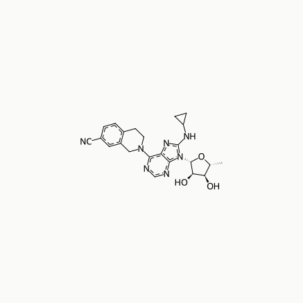 C[C@H]1O[C@@H](n2c(NC3CC3)nc3c(N4CCc5ccc(C#N)cc5C4)ncnc32)[C@H](O)[C@@H]1O